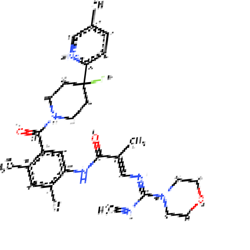 C=N/C(=N\C=C(/C)C(=O)Nc1cc(C(=O)N2CCC(F)(c3ccc(C#N)cn3)CC2)c(C)cc1CC)N1CCOCC1